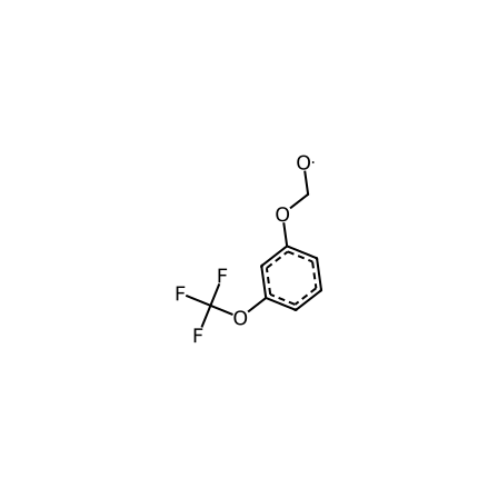 [O]COc1cccc(OC(F)(F)F)c1